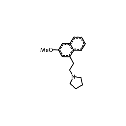 COc1cc(CCN2CCCC2)c2ccccc2c1